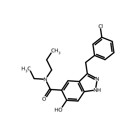 CCCN(CC)C(=O)c1cc2c(Cc3cccc(Cl)c3)n[nH]c2cc1O